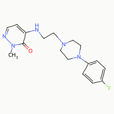 Cn1nccc(NCCN2CCN(c3ccc(F)cc3)CC2)c1=O